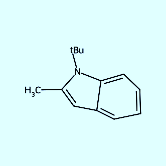 Cc1cc2ccccc2n1C(C)(C)C